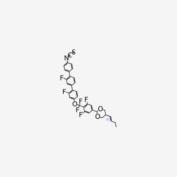 CC/C=C/C1COC(c2cc(F)c(C(F)(F)Oc3ccc(-c4ccc(-c5ccc(N=C=S)cc5)c(F)c4)c(F)c3)c(F)c2)OC1